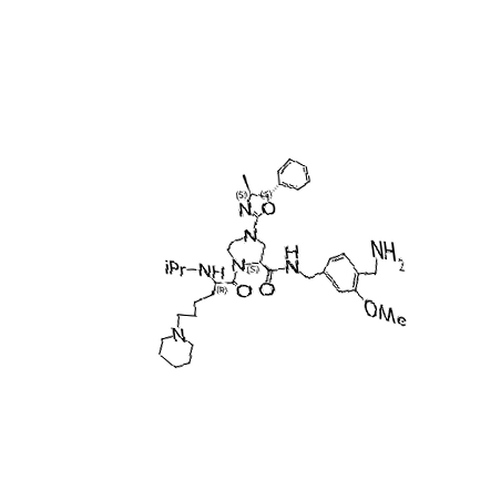 COc1cc(CNC(=O)[C@@H]2CN(C3=N[C@@H](C)[C@H](c4ccccc4)O3)CCN2C(=O)[C@@H](CCCCN2CCCCC2)NC(C)C)ccc1CN